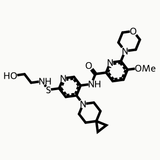 COc1ccc(C(=O)Nc2cnc(SNCCO)cc2N2CCC3(CC2)CC3)nc1N1CCOCC1